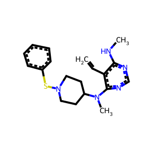 C=Cc1c(NC)ncnc1N(C)C1CCN(Sc2ccccc2)CC1